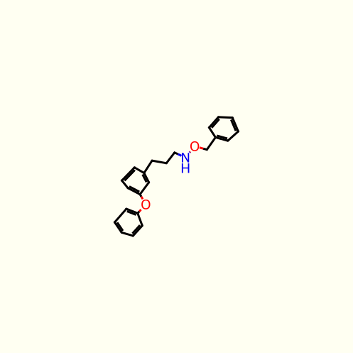 c1ccc(CONCCCc2cccc(Oc3ccccc3)c2)cc1